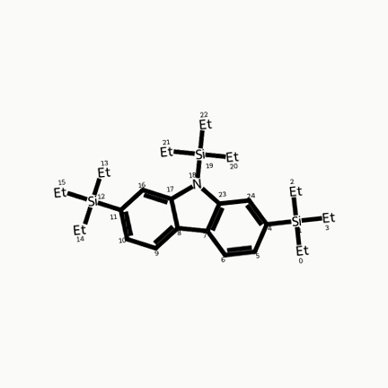 CC[Si](CC)(CC)c1ccc2c3ccc([Si](CC)(CC)CC)cc3n([Si](CC)(CC)CC)c2c1